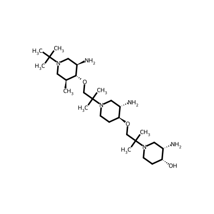 C[C@H]1CN(C(C)(C)C)C[C@@H](N)[C@@H]1OCC(C)(C)N1CC[C@H](OCC(C)(C)N2CC[C@@H](O)[C@@H](N)C2)[C@@H](N)C1